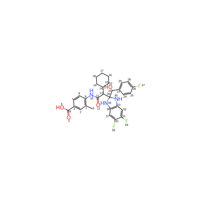 Cc1cc(C(=O)O)ccc1NC(=O)C(C1CCCCC1)C1(C(O)c2ccc(F)cc2)Nc2cc(F)c(F)cc2N1